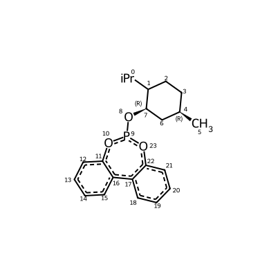 CC(C)C1CC[C@@H](C)C[C@H]1Op1oc2ccccc2c2ccccc2o1